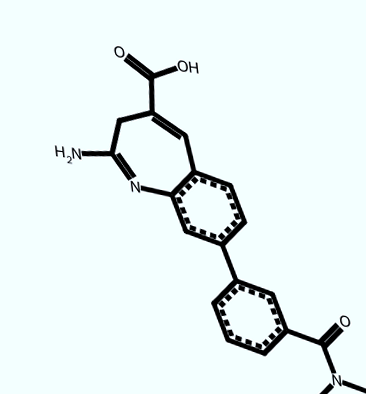 CN(C)C(=O)c1cccc(-c2ccc3c(c2)N=C(N)CC(C(=O)O)=C3)c1